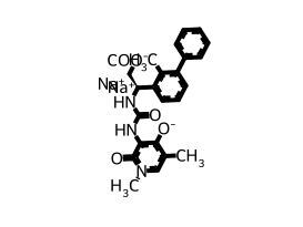 Cc1cn(C)c(=O)c(NC(=O)N[C@@H](CC(=O)[O-])c2cccc(-c3ccccc3)c2C)c1[O-].[Na+].[Na+]